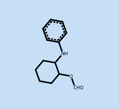 O=COC1CCCCC1Nc1ccccc1